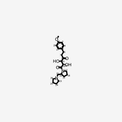 COc1ccc(CCC(=O)[C@H](O)[C@@H](O)C(=O)N2CCCC2CN2CCCC2)cc1